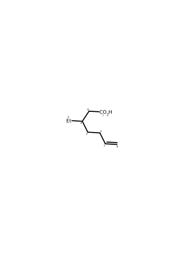 C=CCCC(CC)CC(=O)O